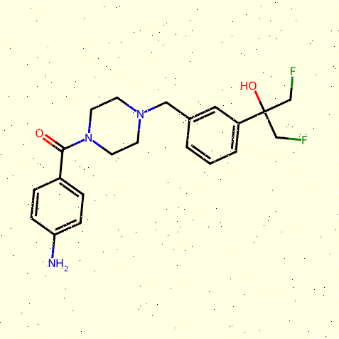 Nc1ccc(C(=O)N2CCN(Cc3cccc(C(O)(CF)CF)c3)CC2)cc1